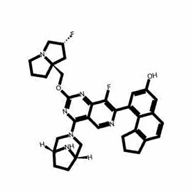 Oc1cc(-c2ncc3c(N4C[C@H]5CC[C@@H](C4)N5)nc(OC[C@@]45CCCN4C[C@H](F)C5)nc3c2F)c2c3c(ccc2c1)CCC3